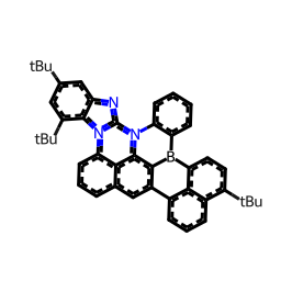 CC(C)(C)c1cc(C(C)(C)C)c2c(c1)nc1n3c4c5c(cc6cccc(c64)n21)-c1cccc2c(C(C)(C)C)ccc(c12)B5c1ccccc1-3